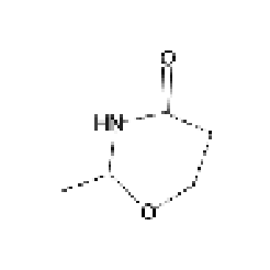 CC1NC(=O)CCO1